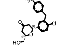 Cc1ccc(Cc2cc([C@H]3CC(=O)C[C@@H](CO)O3)ccc2Cl)cc1